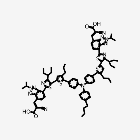 CCCCc1ccc(N(c2ccc(-c3sc(-c4sc(-c5ccc(/C=C(\C#N)C(=O)O)c6nn(C(C)C)nc56)nc4C(CC)CC)cc3CCC)cc2)c2ccc(-c3sc(-c4sc(-c5ccc(/C=C(\C#N)C(=O)O)c6nn(C(C)C)nc56)nc4C(CC)CC)cc3CCC)cc2)cc1